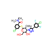 COC1C(n2cc(-c3cc(F)c(Cl)c(F)c3)nn2)[C@@H](O)C(CO)O[C@@H]1Sc1cc(Cl)ccc1C(=O)N(C)C